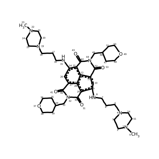 CN1CCN(CCCNc2cc3c4c(c(NCCCN5CCN(C)CC5)cc5c4c2C(=O)N(CC2CCOCC2)C5=O)C(=O)N(CC2CCOCC2)C3=O)CC1